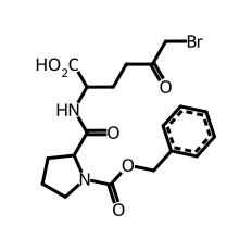 O=C(CBr)CCC(NC(=O)C1CCCN1C(=O)OCc1ccccc1)C(=O)O